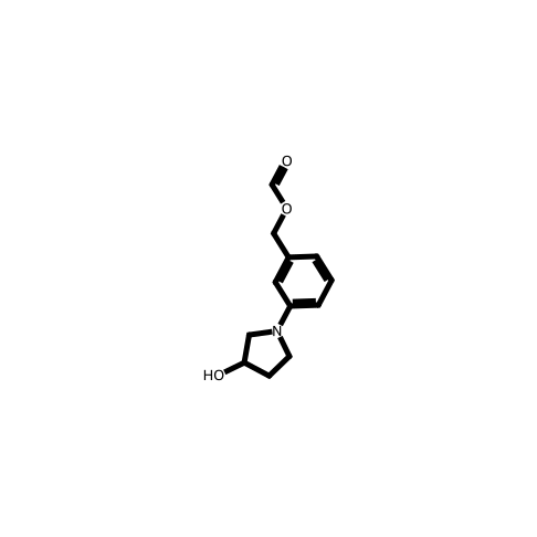 O=COCc1cccc(N2CCC(O)C2)c1